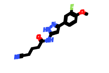 COc1ccc(-c2cc(NC(=O)CCCC#N)[nH]n2)cc1F